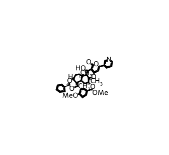 COc1ccc(C(OC)O[C@H]2CC3[C@](C)(CC[C@@H]4O[C@H](c5ccccc5)OC[C@@]34C)C3[C@@H](O)c4c(cc(-c5cccnc5)oc4=O)O[C@@]32C)cc1